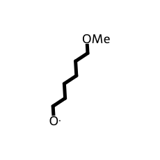 COCCCCCC[O]